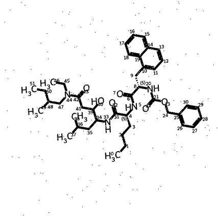 CCCC[C@H](NC(=O)[C@H](Cc1cccc2ccccc12)NC(=O)OCc1ccccc1)C(=O)NC(CC(C)C)C(O)CC(=O)N(CC)CC(C)CC